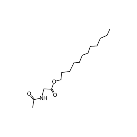 CCCCCCCCCCCCOC(=O)CNC(C)=O